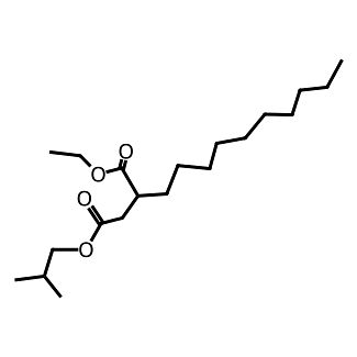 CCCCCCCCCCC(CC(=O)OCC(C)C)C(=O)OCC